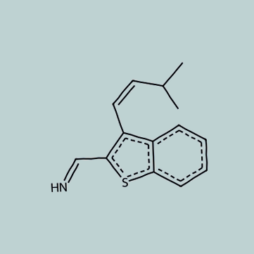 CC(C)/C=C\c1c(C=N)sc2ccccc12